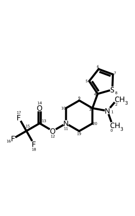 CN(C)C1(c2cccs2)CCN(OC(=O)C(F)(F)F)CC1